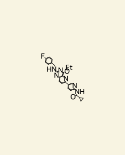 CCOc1nc(NCc2ccc(F)cc2)nc2ccc(-c3ccc(NC(=O)C4CC4)nc3)nc12